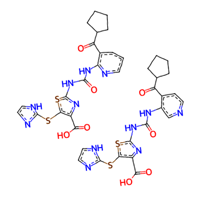 O=C(Nc1nc(C(=O)O)c(Sc2ncc[nH]2)s1)Nc1cnccc1C(=O)C1CCCC1.O=C(Nc1nc(C(=O)O)c(Sc2ncc[nH]2)s1)Nc1ncccc1C(=O)C1CCCC1